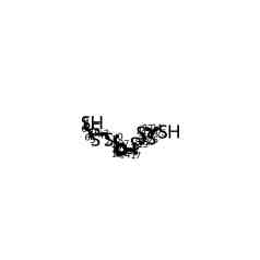 CC(SCC1SCC(CS)S1)c1cccc(C(C)SCC2SCC(CS)S2)c1